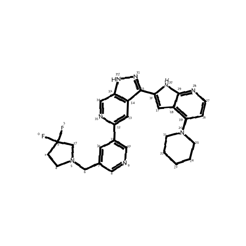 FC1(F)CCN(Cc2cncc(-c3cc4c(-c5cc6c(N7CCCCC7)ccnc6[nH]5)n[nH]c4cn3)c2)C1